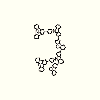 c1ccc2c(c1)oc1ccc(-c3cccc4c5cc(-c6cccc7c6oc6ccc(-c8ccc9c%10ccccc%10n(-c%10ccc(-c%11cc%12c%13ccccc%13n%13c%14ccccc%14c(c%11)c%12%13)cc%10)c9c8)cc67)ccc5n(-c5ccc(-c6cc7c8ccccc8n8c9ccccc9c(c6)c78)cc5)c34)cc12